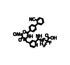 COC(=O)[C@H](Cc1ccnc(C(=N)N)c1)NC(=O)c1ccc(-c2ccccc2C#N)cc1.O=C(O)C(F)(F)F